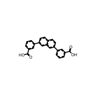 O=C(O)c1cccc(-c2ccc3ccc(-c4cccc(C(=O)O)c4)cc3c2)c1